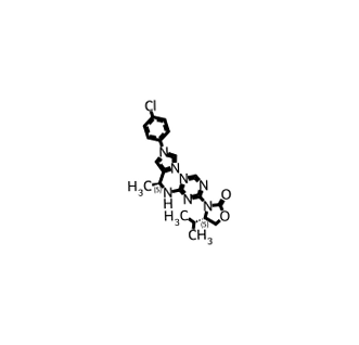 CC(C)[C@H]1COC(=O)N1c1ncnc(N[C@@H](C)c2cn(-c3ccc(Cl)cc3)cn2)n1